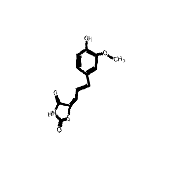 COc1cc(C=CC=C2SC(=O)NC2=O)ccc1O